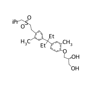 CCC(CC)(c1ccc(CCS(=O)(=O)CC(C)C)c(C)c1)c1ccc(OC[C@@H](O)CO)c(C)c1